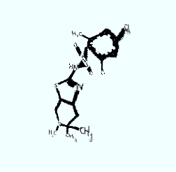 Cc1cc(Cl)cc(Cl)c1S(=O)(=O)NC1=NC2CC(C)(C)N(C)CC2S1